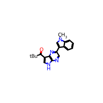 Cn1cc(-c2cnc3[nH]cc(C(=O)C(C)(C)C)c3n2)c2ccccc21